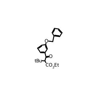 CCOC(=O)C(C(=O)c1cccc(OCc2ccccc2)c1)C(C)(C)C